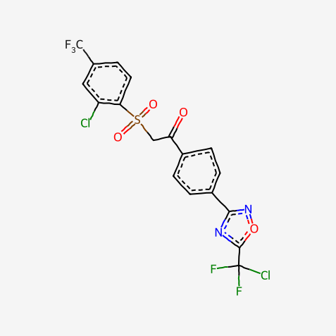 O=C(CS(=O)(=O)c1ccc(C(F)(F)F)cc1Cl)c1ccc(-c2noc(C(F)(F)Cl)n2)cc1